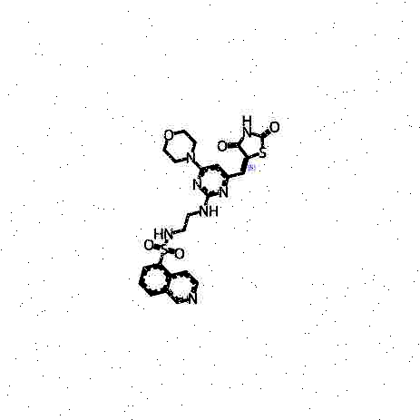 O=C1NC(=O)/C(=C\c2cc(N3CCOCC3)nc(NCCNS(=O)(=O)c3cccc4cnccc34)n2)S1